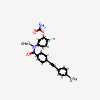 CCCCCCN(C(=O)c1ccc(C#Cc2ccc(CCCC)cc2)cc1)c1ccc(F)c(OC(N)=O)c1